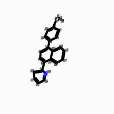 Cc1ccc(-c2ccc(-c3ccccn3)c3ccccc23)cc1